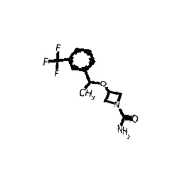 CC(OC1CN(C(N)=O)C1)c1cccc(C(F)(F)F)c1